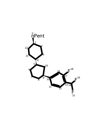 CCCCC[C@H]1CC[C@H](C2CCC[C@H](c3ccc(C(F)F)c(F)c3)C2)CC1